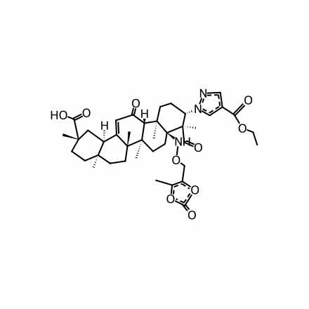 CCOC(=O)c1cnn([C@H]2CC[C@]3(C)[C@H]4C(=O)C=C5[C@@H]6C[C@@](C)(C(=O)O)CC[C@]6(C)CC[C@@]5(C)[C@]4(C)CC[C@@]3(NOCc3oc(=O)oc3C)[C@]2(C)C=O)c1